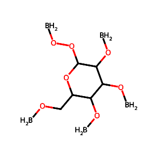 BOCC1OC(OOB)C(OB)C(OB)C1OB